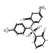 O=[N+]([O-])C1=CC=C(N(c2ccc([N+](=O)[O-])cc2)S(=O)(=O)C2=CC=CCC2=S)C(=S)C1